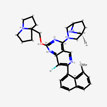 COc1cccc2cccc(-c3ncc4c(N5CC6CC[C@@H](C5)N6)nc(OCC56CCCN5CCC6)nc4c3F)c12